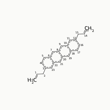 C=CCc1ccc2cc3cc4cc(CC=C)ccc4cc3cc2c1